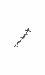 COCCOC/C=N/C(C)(C)C